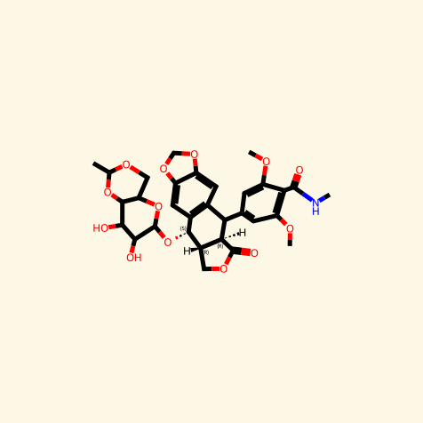 CNC(=O)c1c(OC)cc(C2c3cc4c(cc3[C@@H](OC3OC5COC(C)OC5C(O)C3O)[C@H]3COC(=O)[C@H]23)OCO4)cc1OC